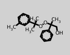 Cc1cccc(C(C)(C)OOC(C)(CO)c2ccccc2)c1